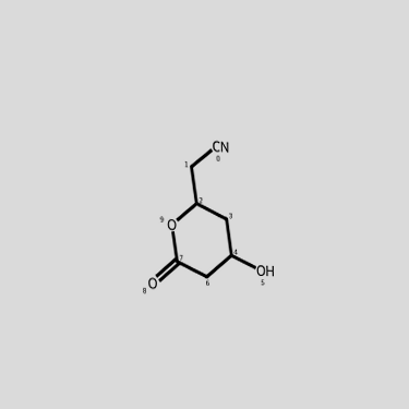 N#CCC1CC(O)CC(=O)O1